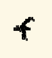 CCOC(=O)C(Cc1ccc(-c2ccc(C(F)(F)F)cn2)cc1)c1c(SC(C)(C)C)c2cc(OCc3ccc(C)cn3)ccc2n1C